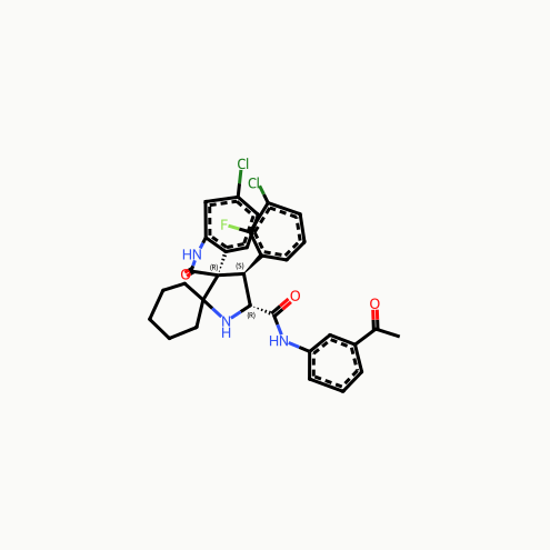 CC(=O)c1cccc(NC(=O)[C@@H]2NC3(CCCCC3)[C@@]3(C(=O)Nc4cc(Cl)ccc43)[C@H]2c2cccc(Cl)c2F)c1